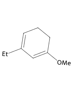 CCC1=CCCC(OC)=C1